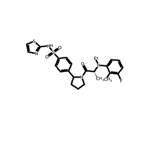 CCN(c1cccc(F)c1C)[C@H](C)C(=O)N1CCCC1c1ccc(S(=O)(=O)Nc2nccs2)cc1